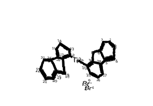 [Br-].[Br-].c1ccc2c(c1)Cc1[c]([Ti+2][c]3cccc4c3Cc3ccccc3-4)cccc1-2